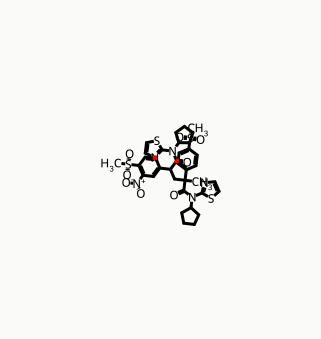 CC(CC(C(=O)N(c1nccs1)C1CCCC1)c1ccc(S(C)(=O)=O)c([N+](=O)[O-])c1)(C(=O)N(c1nccs1)C1CCCC1)c1ccc(S(C)(=O)=O)cc1